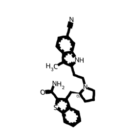 Cc1c(CCN2CCC[C@H]2Cc2c(C(N)=O)sc3ccccc23)[nH]c2cc(C#N)ccc12